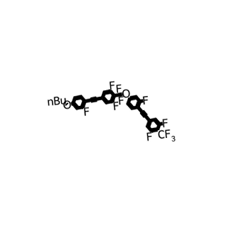 CCCCOc1ccc(C#Cc2cc(F)c(C(F)(F)Oc3ccc(C#Cc4cc(F)c(C(F)(F)F)c(F)c4)c(F)c3)c(F)c2)c(F)c1